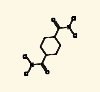 O=C(C1CCC(C(=O)N(Cl)Cl)CC1)N(Cl)Cl